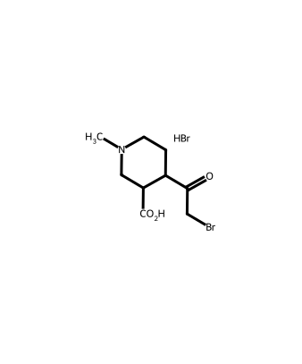 Br.CN1CCC(C(=O)CBr)C(C(=O)O)C1